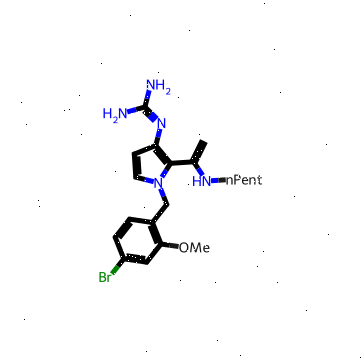 C=C(NCCCCC)c1c(N=C(N)N)ccn1Cc1ccc(Br)cc1OC